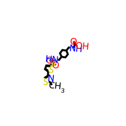 Cc1nc(-c2ccc(S(=O)(=O)NCC3CCC(CNC(=O)O)CC3)s2)cs1